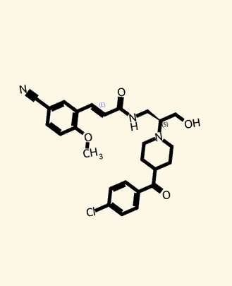 COc1ccc(C#N)cc1/C=C/C(=O)NC[C@@H](CO)N1CCC(C(=O)c2ccc(Cl)cc2)CC1